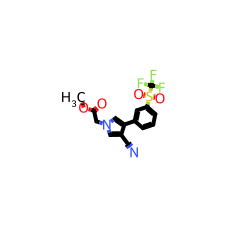 COC(=O)Cn1cc(C#N)c(-c2cccc(S(=O)(=O)C(F)(F)F)c2)c1